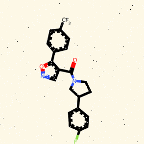 O=C(c1cnoc1-c1ccc(C(F)(F)F)cc1)N1CCC(c2ccc(F)cc2)C1